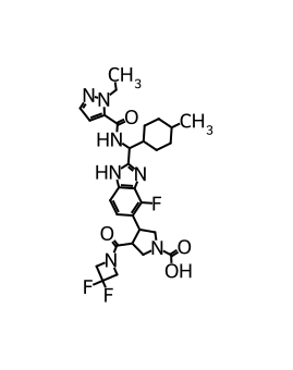 CCn1nccc1C(=O)NC(c1nc2c(F)c(C3CN(C(=O)O)CC3C(=O)N3CC(F)(F)C3)ccc2[nH]1)C1CCC(C)CC1